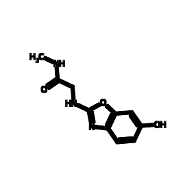 CNC(=O)CNc1nc2ccc(O)cc2o1